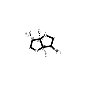 B[C@H]1CO[C@@H]2C(N)CO[C@@H]21